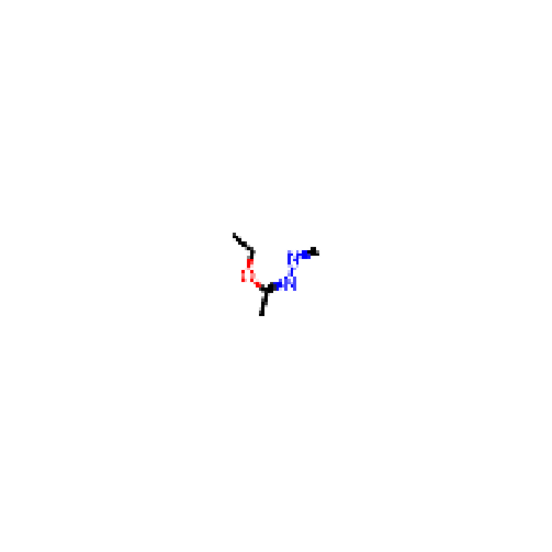 C=N/N=C(/C)OCC